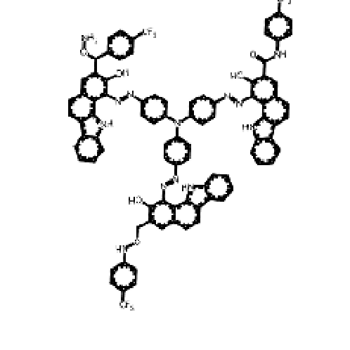 NOC(c1ccc(C(F)(F)F)cc1)c1cc2ccc3c4ccccc4[nH]c3c2c(N=Nc2ccc(N(c3ccc(N=Nc4c(O)c(CONc5ccc(C(F)(F)F)cc5)cc5ccc6c7ccccc7[nH]c6c45)cc3)c3ccc(N=Nc4c(O)c(C(=O)Nc5ccc(C(F)(F)F)cc5)cc5ccc6c7ccccc7[nH]c6c45)cc3)cc2)c1O